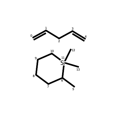 C=CCC=C.CC1CCCC[Si]1(C)C